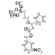 CCO[Si](CCCSC(CC(=O)OCc1cccc([N+](=O)[O-])c1)c1ccccc1)(OCC)OCC